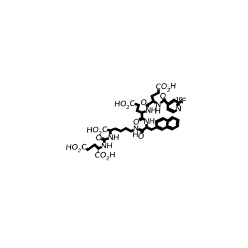 O=C(O)CCC(NC(=O)c1ccnc([18F])c1)C(=O)NC(CCC(=O)O)C(=O)NC(Cc1ccc2ccccc2c1)C(=O)NCCCCC(NC(=O)N[C@@H](CCC(=O)O)C(=O)O)C(=O)O